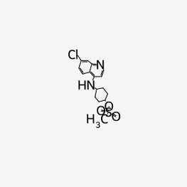 CS(=O)(=O)OC1CCC(Nc2ccnc3cc(Cl)ccc23)CC1